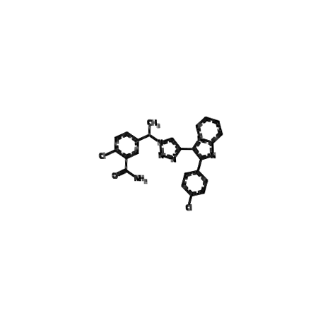 CC(c1ccc(Cl)c(C(N)=O)c1)n1cc(-c2c(-c3ccc(Cl)cc3)nc3ccccn23)nn1